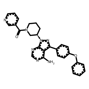 Nc1ncnc2c1c(-c1ccc(Oc3ccccc3)cc1)nn2[C@@H]1CCCN(C(=O)c2cccnc2)C1